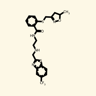 CC1CC(CSc2ccccc2C(=O)NCCNCc2nc3cc(C(F)(F)F)ccc3s2)=NO1